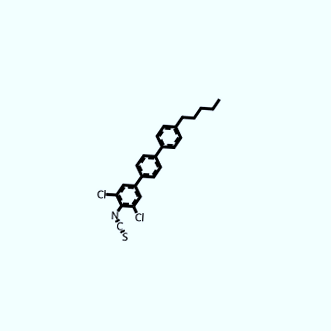 CCCCCc1ccc(-c2ccc(-c3cc(Cl)c(N=C=S)c(Cl)c3)cc2)cc1